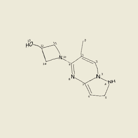 CC1=CN2NCC=C2N=C1N1CC(O)C1